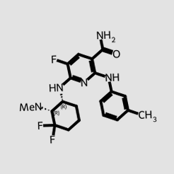 CN[C@@H]1[C@H](Nc2nc(Nc3cccc(C)c3)c(C(N)=O)cc2F)CCCC1(F)F